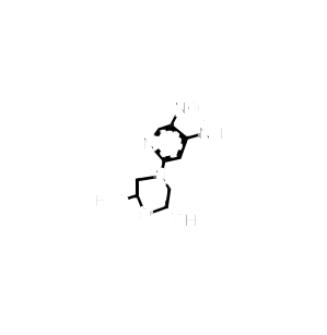 CC1CN(c2cc(N)c([N+](=O)[O-])cn2)C[C@H](C)O1